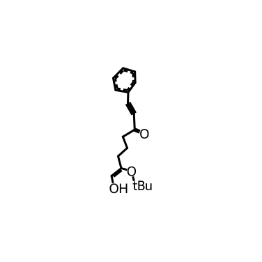 CC(C)(C)O/C(=C\O)CCCC(=O)C#Cc1ccccc1